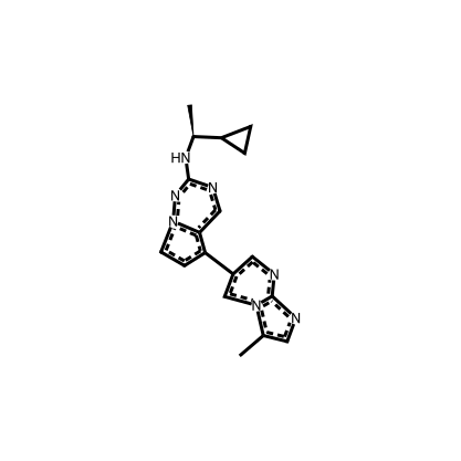 Cc1cnc2ncc(-c3ccn4nc(N[C@@H](C)C5CC5)ncc34)cn12